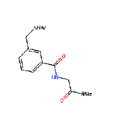 CNC(=O)CNC(=O)c1cccc(CNC(C)=O)c1